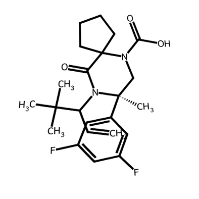 C=CC(N1C(=O)C2(CCCC2)N(C(=O)O)C[C@@]1(C)c1cc(F)cc(F)c1)C(C)(C)C